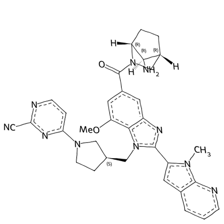 COc1cc(C(=O)N2C[C@H]3CC[C@@H]2[C@@H]3N)cc2nc(-c3cc4cccnc4n3C)n(C[C@H]3CCN(c4ccnc(C#N)n4)C3)c12